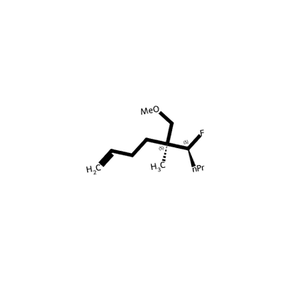 C=CCC[C@@](C)(COC)[C@@H](F)CCC